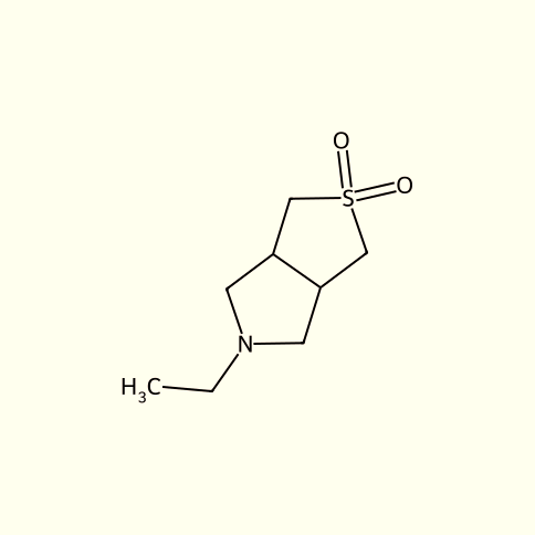 CCN1CC2CS(=O)(=O)CC2C1